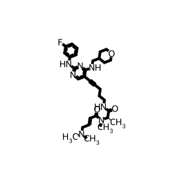 C[C@@H](C(=O)NCCCC#Cc1cnc(Nc2cccc(F)c2)nc1NCC1CCOCC1)N(C)C(=O)/C=C/CN(C)C